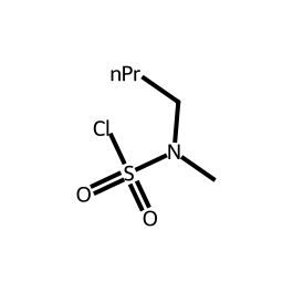 CCCCN(C)S(=O)(=O)Cl